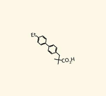 CCc1ccc(-c2ccc(CC(C)(C)C(=O)O)cc2)cc1